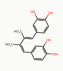 O=C(O)C(=Cc1ccc(O)c(O)c1)C(=Cc1ccc(O)c(O)c1)C(=O)O